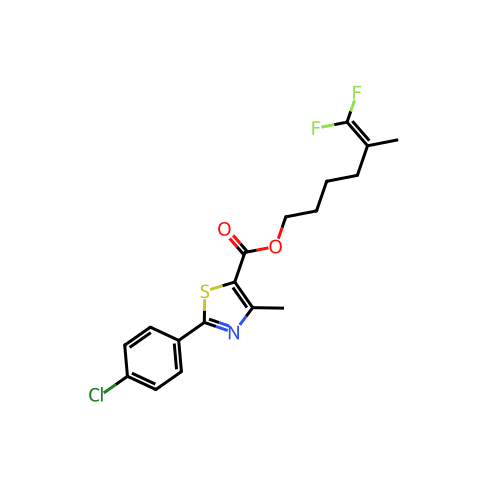 CC(CCCCOC(=O)c1sc(-c2ccc(Cl)cc2)nc1C)=C(F)F